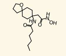 CCCCCC(=O)NC1(CC(=O)NO)CCC2(CCCO2)CC1